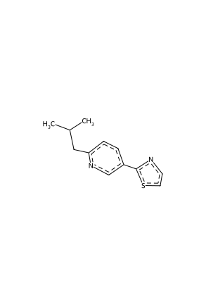 CC(C)Cc1ccc(-c2nccs2)cn1